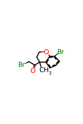 CC1(C(=O)CBr)CCOc2c(Br)cccc21